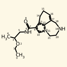 CCOC(C)CNC(=O)c1cn2c3c1CCC=C3CNCC2